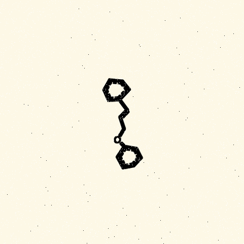 C(=Cc1ccccc1)COc1ccccc1